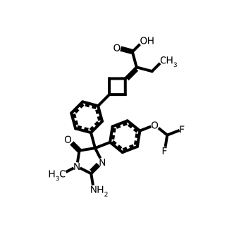 CCC(C(=O)O)=C1CC(c2cccc(C3(c4ccc(OC(F)F)cc4)N=C(N)N(C)C3=O)c2)C1